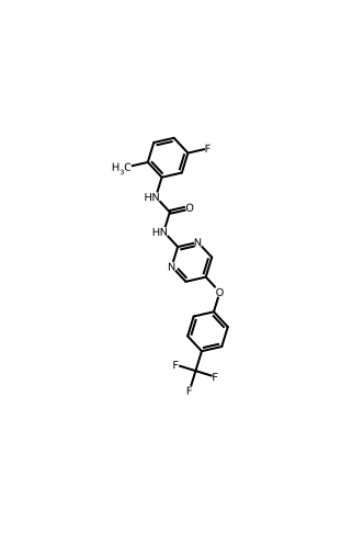 Cc1ccc(F)cc1NC(=O)Nc1ncc(Oc2ccc(C(F)(F)F)cc2)cn1